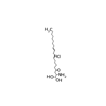 CCCCCCCCC=CCCCCCCCC(=O)CC(N)C(O)O.Cl